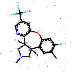 Cc1cc2c(cc1F)Oc1cc(C(F)(F)F)cnc1[C@H]1CN(C)C[C@@H]21